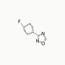 Fc1ccc(-c2ncon2)cc1